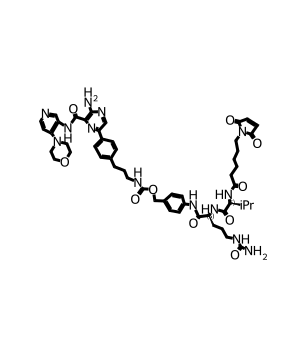 CC(C)[C@H](NC(=O)CCCCCN1C(=O)C=CC1=O)C(=O)N[C@@H](CCCNC(N)=O)C(=O)Nc1ccc(COC(=O)NCCCc2ccc(-c3cnc(N)c(C(=O)Nc4cnccc4N4CCOCC4)n3)cc2)cc1